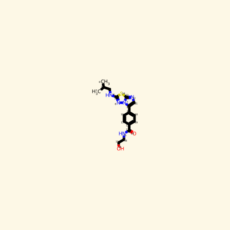 CC(C)CNc1nn2c(-c3ccc(C(=O)NCCO)cc3)cnc2s1